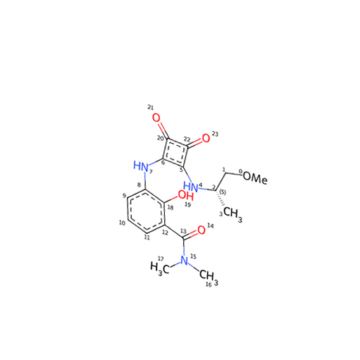 COC[C@H](C)Nc1c(Nc2cccc(C(=O)N(C)C)c2O)c(=O)c1=O